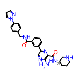 Nc1ncc(-c2cccc(C(=O)NCc3ccc(-n4cccn4)cc3)c2)nc1C(=O)N[C@H]1CCCNC1